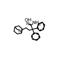 NC(=NO)C(CCN1CC2CCC1CC2)(c1ccccc1)c1ccccc1